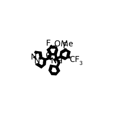 COc1cc(C(Cc2ccccc2)(NC(=O)c2cccn3nccc23)c2cc(F)cc(C(F)(F)F)c2)ccc1F